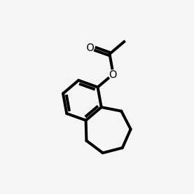 CC(=O)Oc1cccc2c1CCCCC2